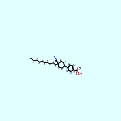 CCCCCCCCCCC1(C#N)CCC(c2ccc(C(=O)O)cc2)CC1